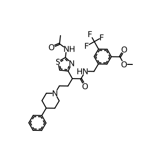 COC(=O)c1cc(CNC(=O)C(CCN2CCC(c3ccccc3)CC2)c2csc(NC(C)=O)n2)cc(C(F)(F)F)c1